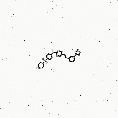 O=S(=O)(c1ccc(Nc2ncc(C=Cc3cccc(-c4nnn[nH]4)c3)cn2)cc1)C1CCNCC1